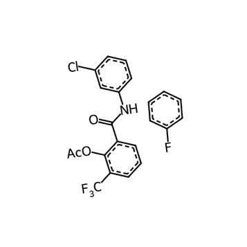 CC(=O)Oc1c(C(=O)Nc2cccc(Cl)c2)cccc1C(F)(F)F.Fc1ccccc1